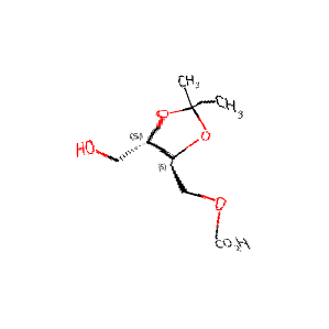 CC1(C)O[C@@H](CO)[C@H](COC(=O)O)O1